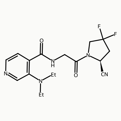 CCN(CC)c1cnccc1C(=O)NCC(=O)N1CC(F)(F)C[C@H]1C#N